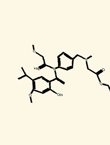 C=C(c1cc(C(C)C)c(OC)cc1O)N(C(=N)COC)c1ccc(CN(C)CC(=O)OCC)cc1